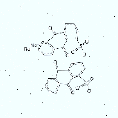 O=C1c2ccccc2C(=O)c2c1cccc2S(=O)(=O)[O-].O=C1c2ccccc2C(=O)c2c1cccc2S(=O)(=O)[O-].[Na+].[Na+]